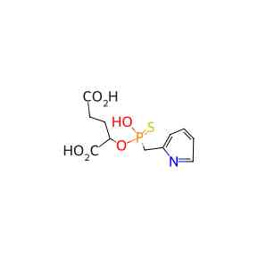 O=C(O)CCC(OP(O)(=S)Cc1ccccn1)C(=O)O